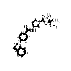 CC(C)(C)OC(=O)N1CC[C@@H](NC(=O)c2ccc(-n3ncc4ccccc43)cc2)C1